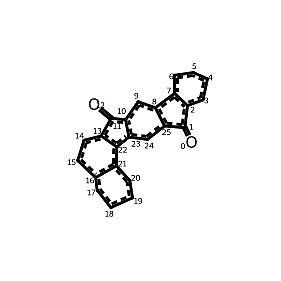 O=c1c2ccccc2c2cc3c(=O)c4ccc5ccccc5c4c3cc12